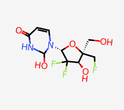 O=C1C=CN([C@@H]2O[C@@](CO)(CF)[C@@H](O)C2(F)F)C(O)N1